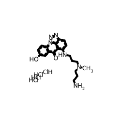 CN(CCCN)CCCNc1ccc2nnn3c4ccc(O)cc4c(=O)c1c23.Cl.Cl.Cl.Cl